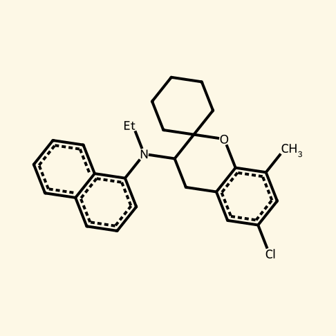 CCN(c1cccc2ccccc12)C1Cc2cc(Cl)cc(C)c2OC12CCCCC2